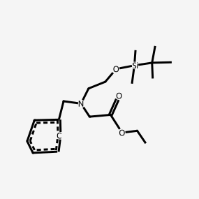 CCOC(=O)CN(CCO[Si](C)(C)C(C)(C)C)Cc1ccccc1